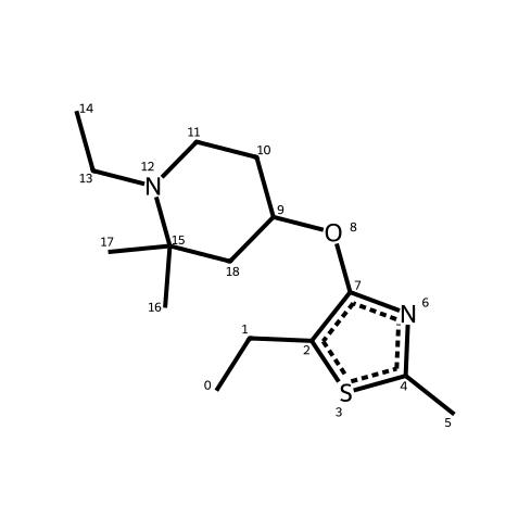 CCc1sc(C)nc1OC1CCN(CC)C(C)(C)C1